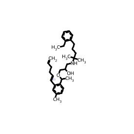 C=CCC/C=C/c1cc(C)ccc1C(C)OCC(O)CNC(C)(C)CCCc1ccccc1CC